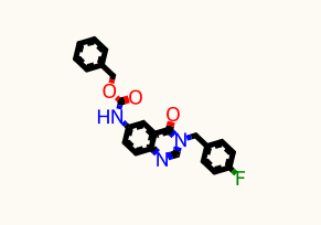 O=C(Nc1ccc2ncn(Cc3ccc(F)cc3)c(=O)c2c1)OCc1ccccc1